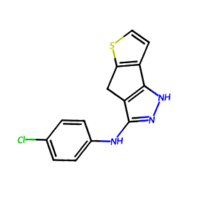 Clc1ccc(Nc2n[nH]c3c2Cc2sccc2-3)cc1